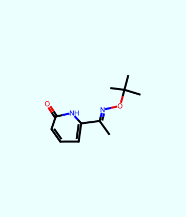 CC(=NOC(C)(C)C)c1cccc(=O)[nH]1